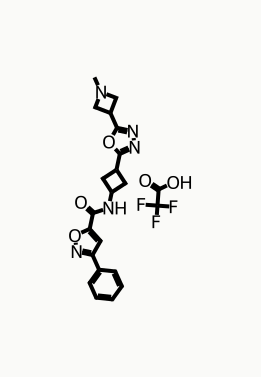 CN1CC(c2nnc(C3CC(NC(=O)c4cc(-c5ccccc5)no4)C3)o2)C1.O=C(O)C(F)(F)F